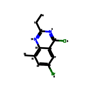 CCc1nc(Cl)c2cc(Br)cc(C)c2n1